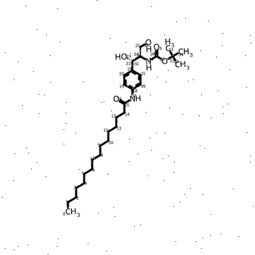 CCCCCCCCCCCCCCCC(=O)Nc1ccc([C@H](O)[C@@H](CO)NC(=O)OC(C)(C)C)cc1